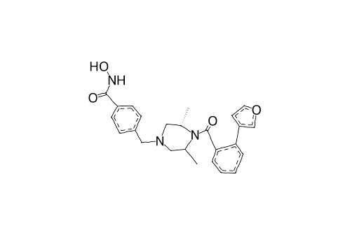 CC1CN(Cc2ccc(C(=O)NO)cc2)C[C@H](C)N1C(=O)c1ccccc1-c1ccoc1